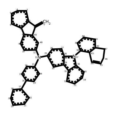 C=C1c2ccccc2-c2ccc(N(c3ccc(-c4ccccc4)cc3)c3ccc4c(c3)c3ccccc3n4-c3cccc4c3C=CCC4)cc21